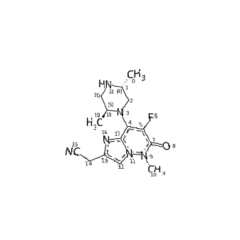 C[C@@H]1CN(c2c(F)c(=O)n(C)n3cc(CC#N)nc23)[C@@H](C)CN1